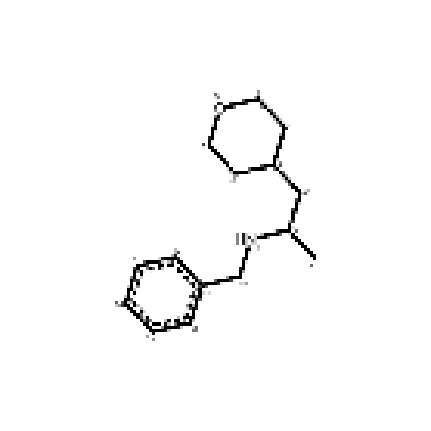 CC(CC1CCOCC1)NCc1ccccc1